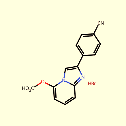 Br.N#Cc1ccc(-c2cn3c(OC(=O)O)cccc3n2)cc1